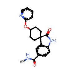 CCNC(=O)c1ccc2c(c1)C1(CCC(Oc3ccccn3)CC1)C(=O)N2